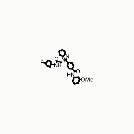 COc1cccc(NC(=O)c2ccc(-c3nc4ccccc4n3CC(=O)Nc3ccc(F)cc3)cc2)c1